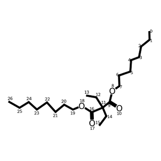 CCCCCCCCOC(=O)C(CC)(CC)C(=O)OCCCCCCCC